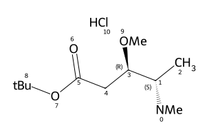 CN[C@@H](C)[C@@H](CC(=O)OC(C)(C)C)OC.Cl